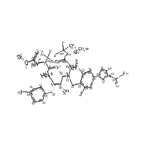 CC(C)(C)OC(=O)N[C@H](C(=O)N[C@@H](Cc1ccc(I)cc1)[C@@H](O)CN(Cc1c(F)cc(-c2ccn(C(F)F)n2)cc1F)NC(=O)[C@@H](NC(=O)O)C(C)(C)C(F)(F)F)C(C)(C)C(F)(F)F